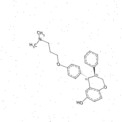 CN(C)CCCOc1ccc([C@H]2c3cc(O)ccc3OC[C@@H]2c2ccccc2)cc1